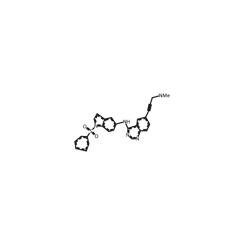 CNCC#Cc1ccc2ncnc(Nc3ccc4c(ccn4S(=O)(=O)c4ccccc4)c3)c2c1